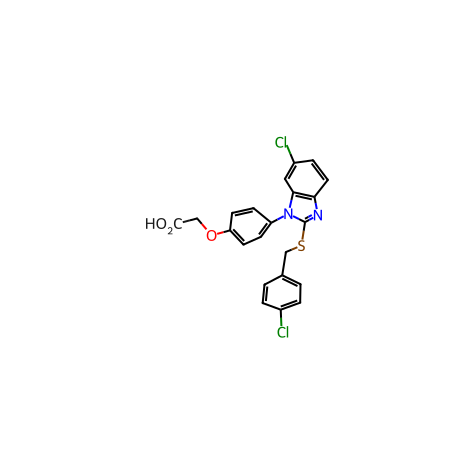 O=C(O)COc1ccc(-n2c(SCc3ccc(Cl)cc3)nc3ccc(Cl)cc32)cc1